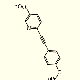 CCCCCCCCc1ccc(C#Cc2ccc(OCCC)cc2)nc1